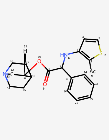 CC(=O)c1sccc1NC(C(=O)O[C@H]1CN2CCC1CC2)c1ccccc1